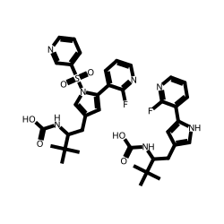 CC(C)(C)C(Cc1c[nH]c(-c2cccnc2F)c1)NC(=O)O.CC(C)(C)C(Cc1cc(-c2cccnc2F)n(S(=O)(=O)c2cccnc2)c1)NC(=O)O